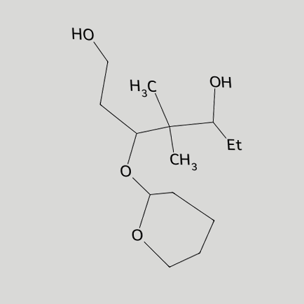 CCC(O)C(C)(C)C(CCO)OC1CCCCO1